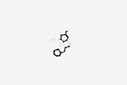 OCC1=C[C@H](/N=C\CCc2ccccc2)[C@H](O)C(O)[C@@H]1O